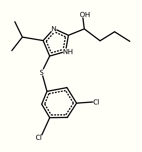 CCCC(O)c1nc(C(C)C)c(Sc2cc(Cl)cc(Cl)c2)[nH]1